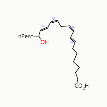 CCCCCC(O)/C=C/C=C\C/C=C\C=C\CCCCCCC(=O)O